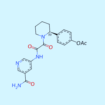 CC(=O)Oc1ccc([C@@H]2CCCCN2C(=O)C(=O)Nc2cncc(C(N)=O)c2)cc1